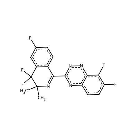 CC1(C)N=C(c2nnc3c(F)c(F)ccc3n2)c2ccc(F)cc2C1(F)F